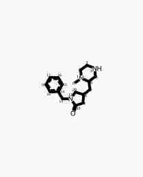 CN1CCNCC1CC1CC(=O)N(Cc2ccccc2)C1